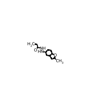 C=CC(=O)NNc1ccc2oc(C)cc2c1